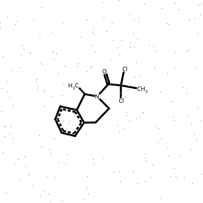 CC1c2ccccc2CCN1C(=O)C(C)(Cl)Cl